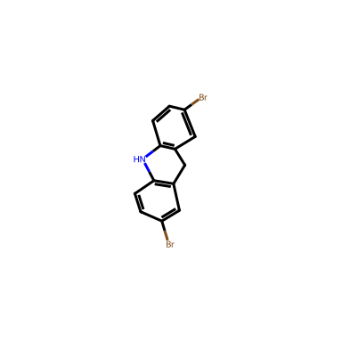 Brc1ccc2c(c1)Cc1cc(Br)ccc1N2